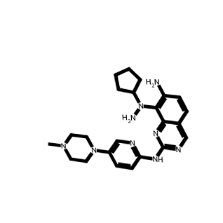 CN1CCN(c2ccc(Nc3ncc4ccc(N)c(N(N)C5CCCC5)c4n3)nc2)CC1